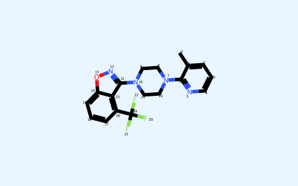 Cc1cccnc1N1CCN(c2noc3cccc(C(F)(F)F)c23)CC1